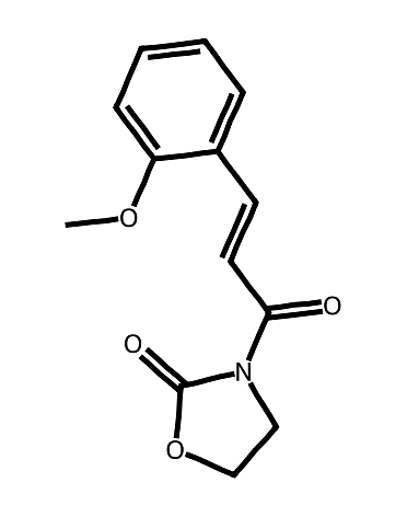 COc1ccccc1C=CC(=O)N1CCOC1=O